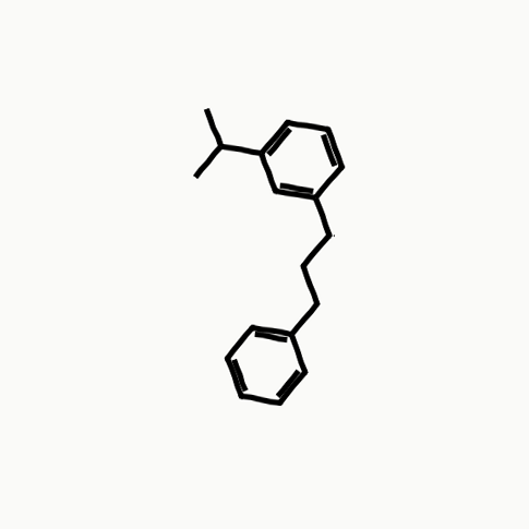 CC(C)c1cccc([CH]CCc2ccccc2)c1